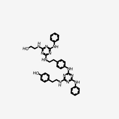 OCCNc1nc(NCCc2ccc(Nc3nc(NCCc4ccc(O)cc4)nc(Nc4ccccc4)n3)cc2)nc(Nc2ccccc2)n1